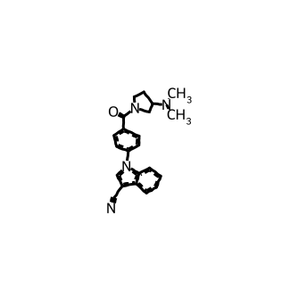 CN(C)C1CCN(C(=O)c2ccc(-n3cc(C#N)c4ccccc43)cc2)C1